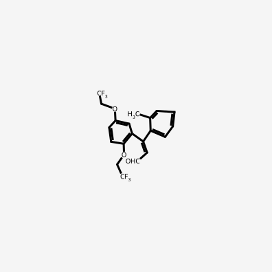 Cc1ccccc1C(=CC=O)c1cc(OCC(F)(F)F)ccc1OCC(F)(F)F